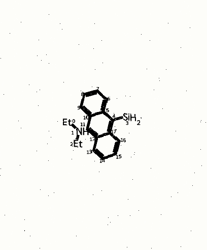 CCNCC.[SiH2]c1c2ccccc2cc2ccccc12